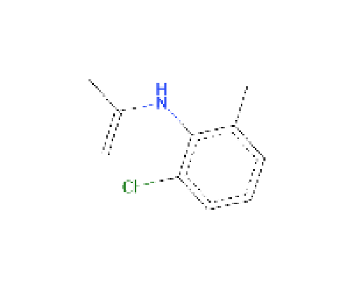 C=C(C)Nc1c(C)cccc1Cl